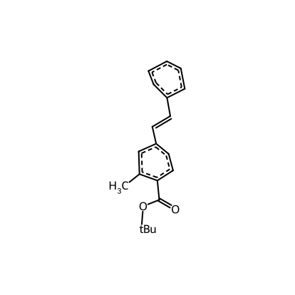 Cc1cc(C=Cc2ccccc2)ccc1C(=O)OC(C)(C)C